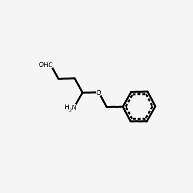 NC(CCC=O)OCc1ccccc1